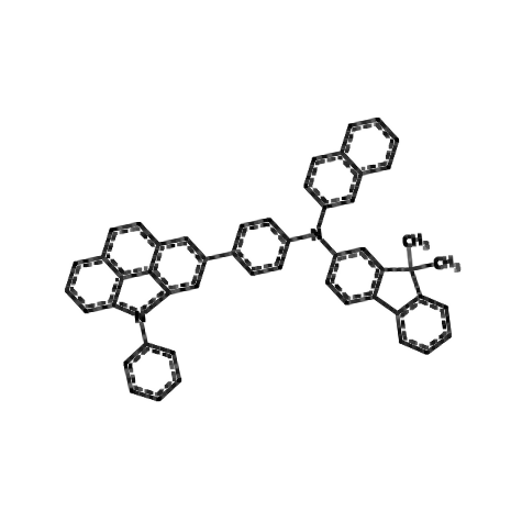 CC1(C)c2ccccc2-c2ccc(N(c3ccc(-c4cc5ccc6cccc7c6c5c(c4)n7-c4ccccc4)cc3)c3ccc4ccccc4c3)cc21